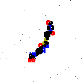 CC(=O)N1CCN(C(=O)c2cccc(CSc3cnc(NC(=O)c4ccc(CN[C@H](CO)C(C)C)cc4)s3)c2)CC1